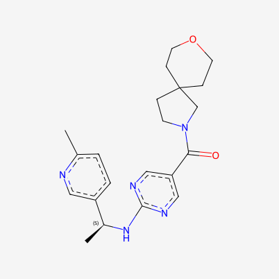 Cc1ccc([C@H](C)Nc2ncc(C(=O)N3CCC4(CCOCC4)C3)cn2)cn1